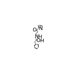 Cn1cccc1C(=O)CCNCC(O)Cc1ccccc1